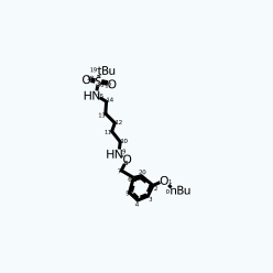 CCCCOc1cccc(CONCCCCCNS(=O)(=O)C(C)(C)C)c1